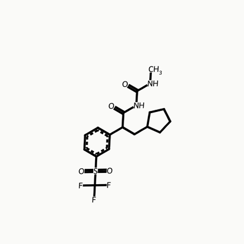 CNC(=O)NC(=O)C(CC1CCCC1)c1cccc(S(=O)(=O)C(F)(F)F)c1